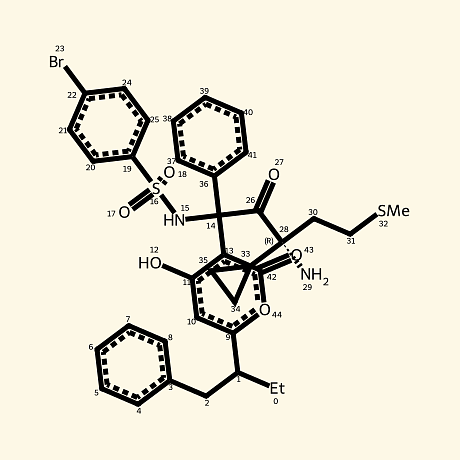 CCC(Cc1ccccc1)c1cc(O)c(C(NS(=O)(=O)c2ccc(Br)cc2)(C(=O)[C@@](N)(CCSC)C2CC2)c2ccccc2)c(=O)o1